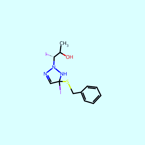 CC(O)[C@@H](I)N1N=CC(I)(SCc2ccccc2)N1